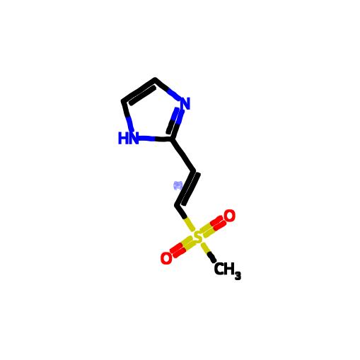 CS(=O)(=O)/C=C/c1ncc[nH]1